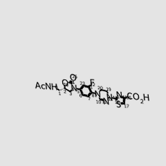 CC(=O)NC[C@H]1CN(c2ccc(N3C=NN(c4nc(C(=O)O)cs4)CC3)c(F)c2)C(=O)O1